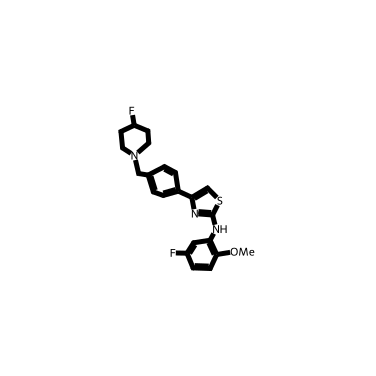 COc1ccc(F)cc1Nc1nc(-c2ccc(CN3CCC(F)CC3)cc2)cs1